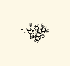 N#Cc1c(N)nc(N)nc1N1CCCC1c1nc2c(Cl)cccc2c(=O)n1-c1cc(F)cc(F)c1